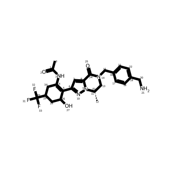 CC(=O)NC1=C(c2cc3n(n2)[C@@H](C)CN(Cc2ccc(CN)cc2)C3=O)C(O)CC(C(F)(F)F)C1